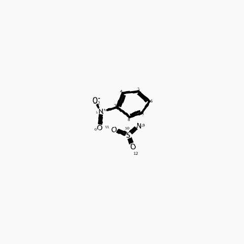 O=[N+]([O-])c1ccccc1.[N]=S(=O)=O